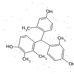 Cc1cc(O)ccc1C(c1ccc(O)cc1C)c1ccc(O)c(C)c1C